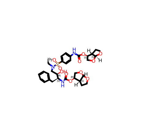 CC(C)CN(C[C@@H](O)[C@H](Cc1ccccc1)NC(=O)O[C@H]1CO[C@H]2OCC[C@H]21)S(=O)(=O)c1ccc(NC(=O)O[C@@H]2CO[C@@H]3OCC[C@@H]32)cc1